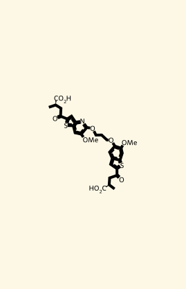 COc1cc2sc(C(=O)C[C@H](C)C(=O)O)cc2cc1OCCCOc1nc2cc(C(=O)C[C@H](C)C(=O)O)sc2cc1OC